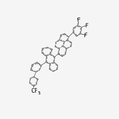 Fc1cc(-c2ccc3ccc4c(-c5c6ccccc6c(-c6cccc(-c7ccc(C(F)(F)F)cc7)c6)c6ccccc56)ccc5ccc2c3c54)cc(F)c1F